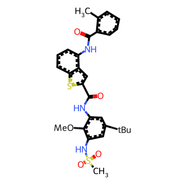 COc1c(NC(=O)c2cc3c(NC(=O)c4ccccc4C)cccc3s2)cc(C(C)(C)C)cc1NS(C)(=O)=O